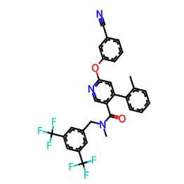 Cc1ccccc1-c1cc(Oc2cccc(C#N)c2)ncc1C(=O)N(C)Cc1cc(C(F)(F)F)cc(C(F)(F)F)c1